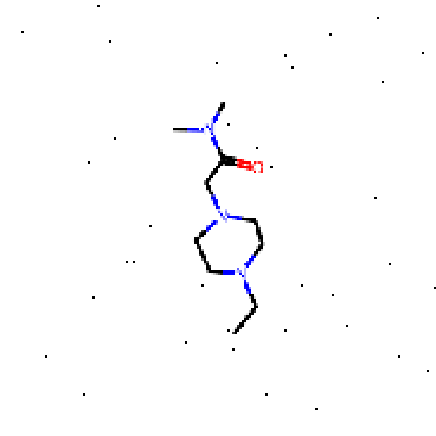 CCN1CCN(CC(=O)N(C)C)CC1